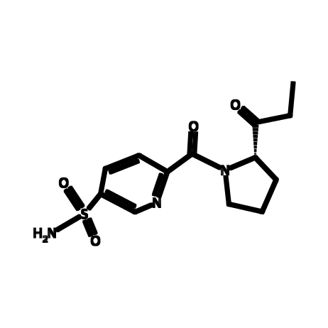 CCC(=O)[C@@H]1CCCN1C(=O)c1ccc(S(N)(=O)=O)cn1